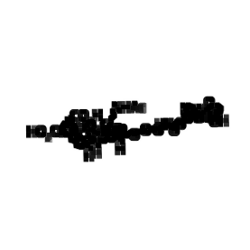 CC(=O)NCCCCC(NC(=O)C(CCCCNC(=S)Nc1ccc(CC2CN(CC(=O)O)CCN(CC(=O)O)CCN2CC(=O)O)cc1)NC(=O)CCOCCOCCOCCNC(=O)COc1ccc2c(C(=O)NCC(=O)N3CCCC3B(O)O)ccnc2c1)C(=O)O